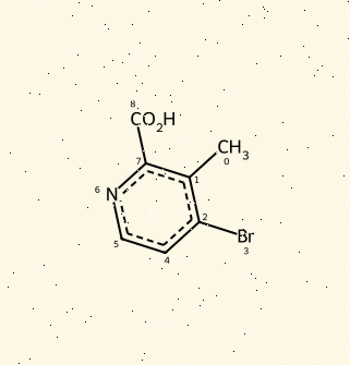 Cc1c(Br)ccnc1C(=O)O